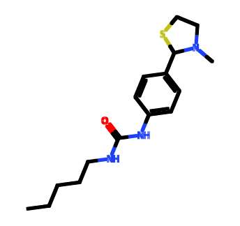 CCCCCNC(=O)Nc1ccc(C2SCCN2C)cc1